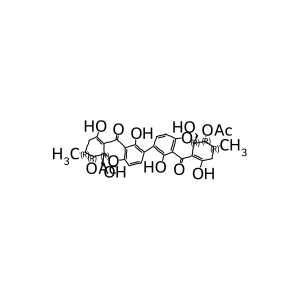 CC(=O)O[C@@H]1[C@H](C)CC(O)=C2C(=O)c3c(ccc(-c4ccc5c(c4O)C(=O)C4=C(O)C[C@@H](C)[C@@H](OC(C)=O)[C@@]4(CO)O5)c3O)O[C@@]21CO